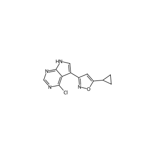 Clc1ncnc2[nH]cc(-c3cc(C4CC4)on3)c12